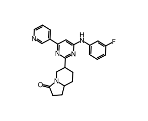 O=C1CCC2CCC(c3nc(Nc4cccc(F)c4)cc(-c4cccnc4)n3)CN12